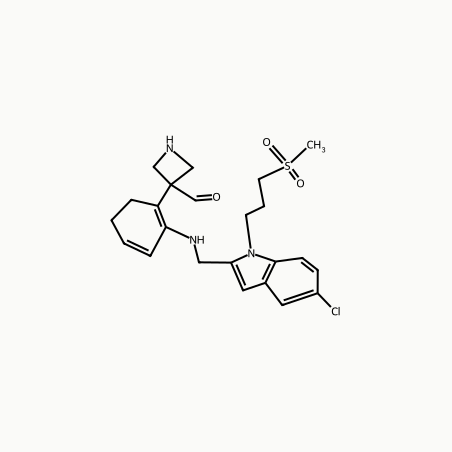 CS(=O)(=O)CCCn1c(CNC2=C(C3(C=O)CNC3)CCC=C2)cc2cc(Cl)ccc21